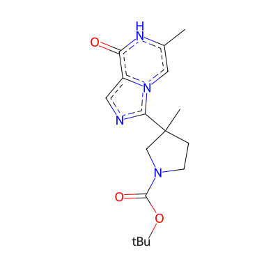 Cc1cn2c(C3(C)CCN(C(=O)OC(C)(C)C)C3)ncc2c(=O)[nH]1